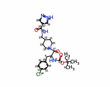 CC(C)(C)OC(=O)NC(Cc1ccc(Cl)cc1)C(=O)N1CCC(CNC(=O)c2cn[nH]c2)CC1